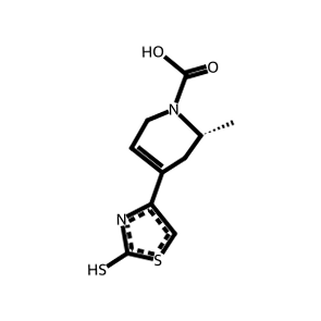 C[C@@H]1CC(c2csc(S)n2)=CCN1C(=O)O